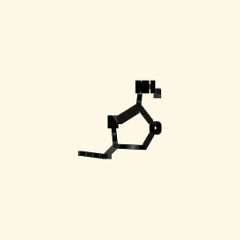 C[CH]C1COC(N)=N1